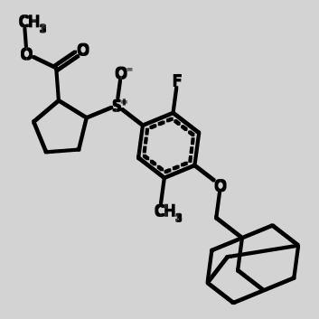 COC(=O)C1CCCC1[S+]([O-])c1cc(C)c(OCC23CC4CC(CC(C4)C2)C3)cc1F